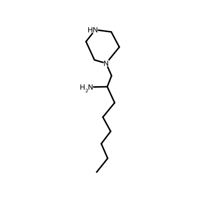 CCCCCCC(N)CN1CCNCC1